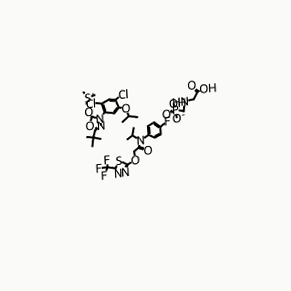 CC(C)N(C(=O)COc1nnc(C(F)(F)F)s1)c1ccc(F)cc1.CC(C)Oc1cc(-n2nc(C(C)(C)C)oc2=O)c(Cl)cc1Cl.C[S+](C)C.O=C(O)CNCP(=O)([O-])O